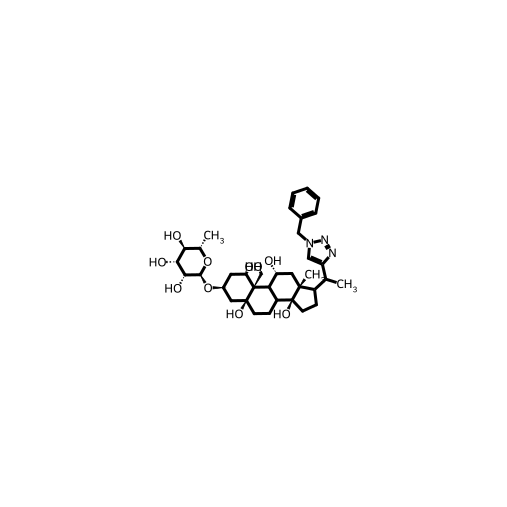 CC(c1cn(Cc2ccccc2)nn1)C1CC[C@]2(O)C3CC[C@]4(O)C[C@@H](O[C@@H]5O[C@@H](C)[C@H](O)[C@@H](O)[C@H]5O)C[C@@H](O)[C@]4(CO)C3[C@H](O)C[C@]12C